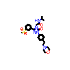 CC(C)NC(=O)Cn1c(-c2cccc(S(C)(=O)=O)c2)nn(-c2ccc(CCN3CCOCC3)cc2)c1=O